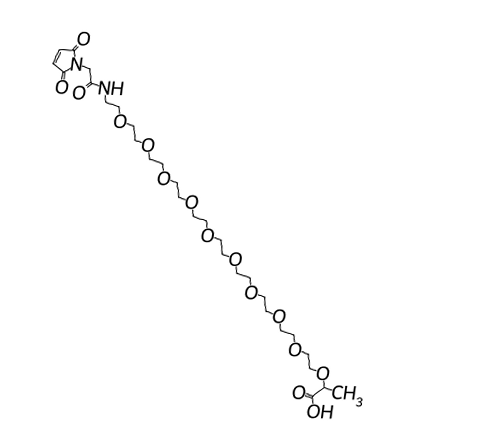 CC(OCCOCCOCCOCCOCCOCCOCCOCCOCCOCCNC(=O)CN1C(=O)C=CC1=O)C(=O)O